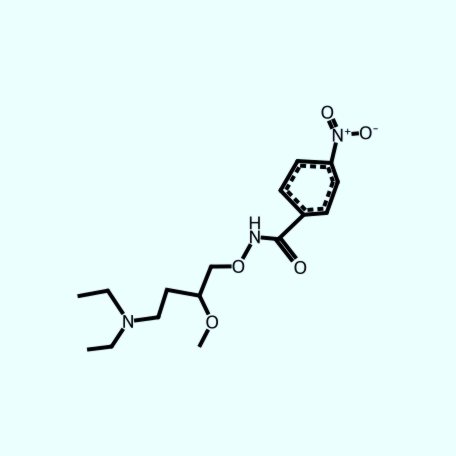 CCN(CC)CCC(CONC(=O)c1ccc([N+](=O)[O-])cc1)OC